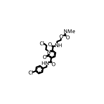 CNC(=O)OCCNC(=O)c1ccc(C(=O)NCc2ccc(Cl)cc2)c(=O)n1CCCl